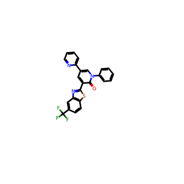 O=c1c(-c2nc3cc(C(F)(F)F)ccc3s2)cc(-c2ccccn2)cn1-c1ccccc1